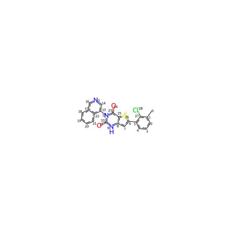 Cc1cccc(-c2cc3[nH]c(=O)n(-c4cncc5ccccc45)c(=O)c3s2)c1Cl